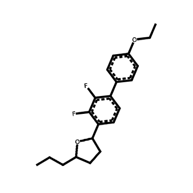 CCCC1CCC(c2ccc(-c3ccc(OCC)cc3)c(F)c2F)O1